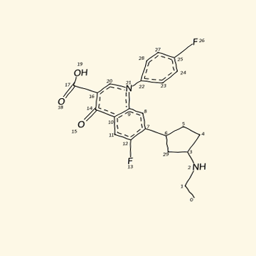 CCNC1CCC(c2cc3c(cc2F)c(=O)c(C(=O)O)cn3-c2ccc(F)cc2)C1